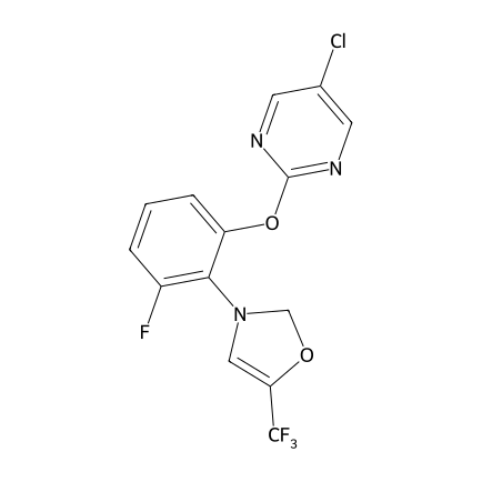 Fc1cccc(Oc2ncc(Cl)cn2)c1N1C=C(C(F)(F)F)OC1